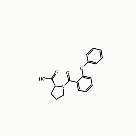 O=C(O)[C@@H]1CCCN1C(=O)c1ccccc1Oc1ccccc1